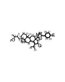 COC(C)CCC1(C)[C@H](C)CCC2(C)C3CCC4(c5nnc(-c6ccc(F)cc6)o5)CC(=O)C(C(C)C)=C4C3CC[C@@H]21